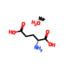 N[C@H](CCC(=O)O)C(=O)O.O.[Na]